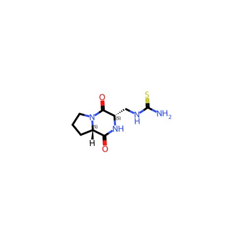 NC(=S)NC[C@@H]1NC(=O)[C@@H]2CCCN2C1=O